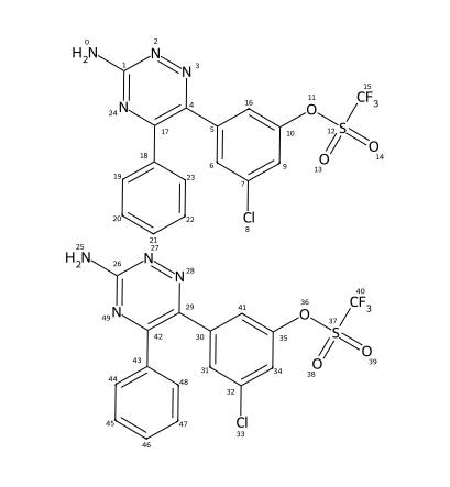 Nc1nnc(-c2cc(Cl)cc(OS(=O)(=O)C(F)(F)F)c2)c(-c2ccccc2)n1.Nc1nnc(-c2cc(Cl)cc(OS(=O)(=O)C(F)(F)F)c2)c(-c2ccccc2)n1